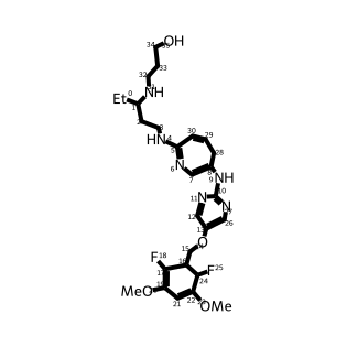 CCC(CCNC1=NC=C(Nc2ncc(OCC3C(F)=C(OC)C=C(OC)C3F)cn2)CC=C1)NCCCO